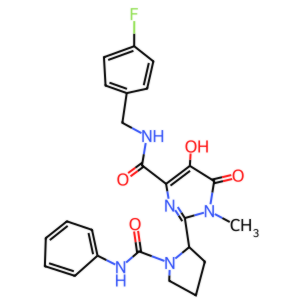 Cn1c(C2CCCN2C(=O)Nc2ccccc2)nc(C(=O)NCc2ccc(F)cc2)c(O)c1=O